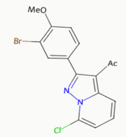 COc1ccc(-c2nn3c(Cl)cccc3c2C(C)=O)cc1Br